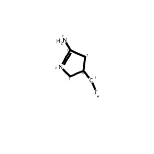 NC1=NCC(CF)C1